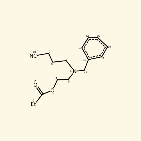 CCC(=O)OCCN(CCCC#N)Cc1ccccc1